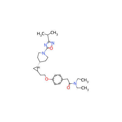 CCN(CC)C(=O)Cc1ccc(OCCC2C[C@@H]2C2CCN(c3nc(C(C)C)no3)CC2)cc1